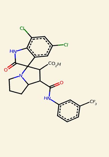 O=C(Nc1cccc(C(F)(F)F)c1)C1C2CCCN2C2(C(=O)Nc3c(Cl)cc(Cl)cc32)C1C(=O)O